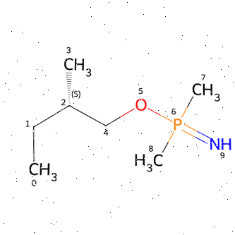 CC[C@H](C)COP(C)(C)=N